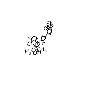 CCS(=O)(=O)c1cccc(-c2ccc(-n3cc(C(C)(C)O)nc3-c3cccc(F)c3Cl)c(F)c2)c1